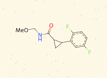 COCNC(=O)C1CC1c1cc(F)ccc1F